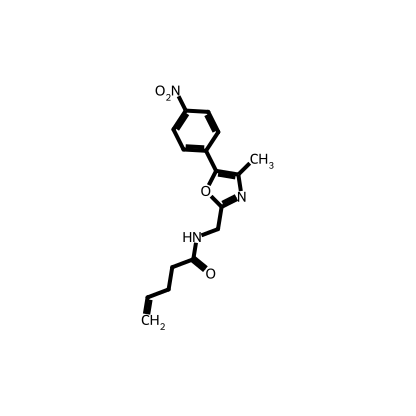 C=CCCC(=O)NCc1nc(C)c(-c2ccc([N+](=O)[O-])cc2)o1